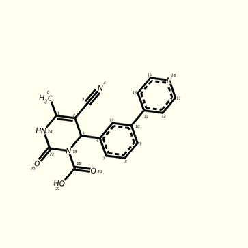 CC1=C(C#N)C(c2cccc(-c3ccncc3)c2)N(C(=O)O)C(=O)N1